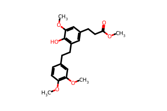 COC(=O)CCc1cc(CCc2ccc(OC)c(OC)c2)c(O)c(OC)c1